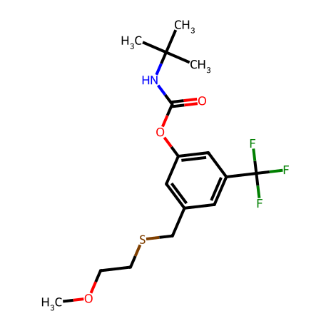 COCCSCc1cc(OC(=O)NC(C)(C)C)cc(C(F)(F)F)c1